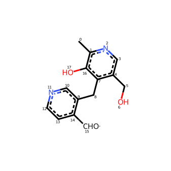 Cc1ncc(CO)c(Cc2cnccc2[C]=O)c1O